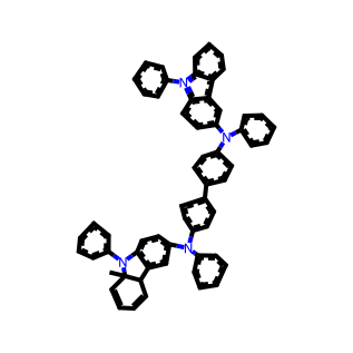 CC12C=CC=CC1c1cc(N(c3ccccc3)c3ccc(-c4ccc(N(c5ccccc5)c5ccc6c(c5)c5ccccc5n6-c5ccccc5)cc4)cc3)ccc1N2c1ccccc1